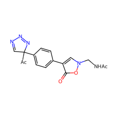 CC(=O)NCn1cc(-c2ccc(C3(C(C)=O)C=NN=N3)cc2)c(=O)o1